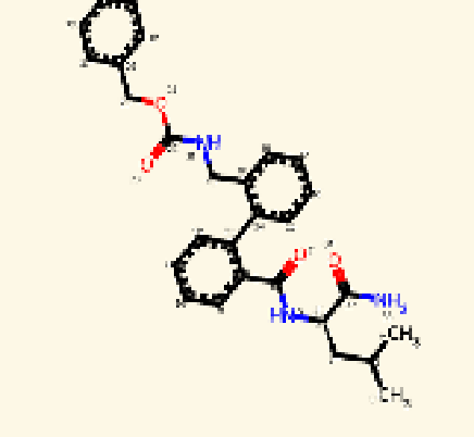 CC(C)C[C@@H](NC(=O)c1ccccc1-c1ccccc1CNC(=O)OCc1ccccc1)C(N)=O